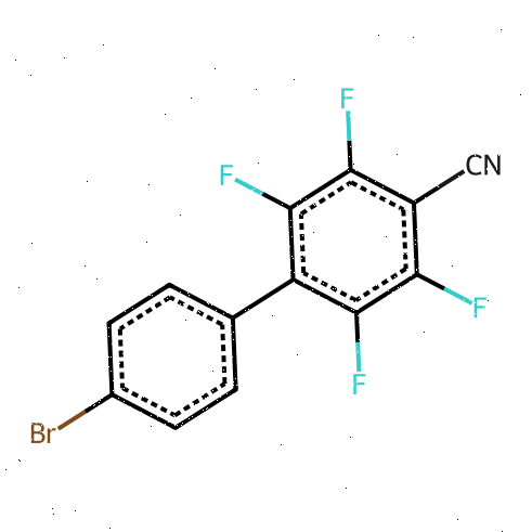 N#Cc1c(F)c(F)c(-c2ccc(Br)cc2)c(F)c1F